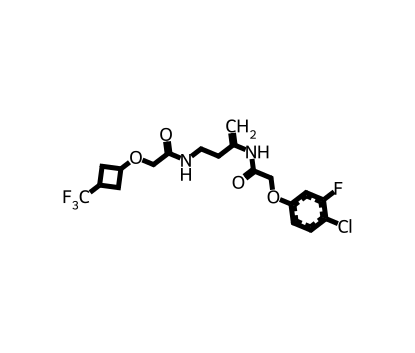 C=C(CCNC(=O)COC1CC(C(F)(F)F)C1)NC(=O)COc1ccc(Cl)c(F)c1